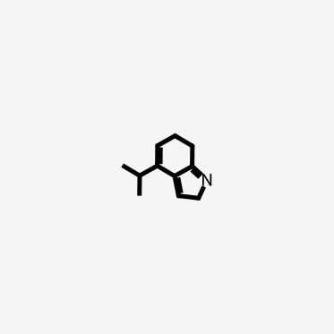 CC(C)C1=CCCC2=NCC=C12